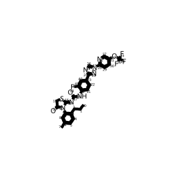 CCCc1ccc(C)cc1N1C(=O)CSC1=NC(=O)Nc1ccc(-c2ncn(-c3ccc(OC(F)(F)F)cn3)n2)cc1F